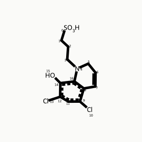 O=S(=O)(O)CCCN1CC=Cc2c(Cl)cc(Cl)c(O)c21